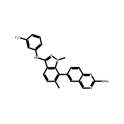 CNc1ncc2cc(-c3c(C)ccc4c(Nc5cccc(C(F)(F)F)c5)nn(C)c34)ccc2n1